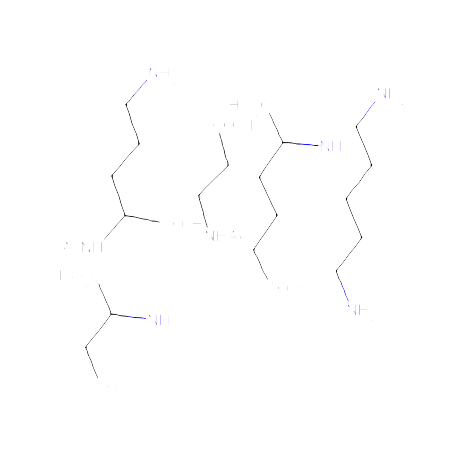 CC(=O)NC(CCCN)C(=O)O.CC(=O)NCCC(=O)O.NC(CCCC(=O)O)C(=O)O.NC(CS(=O)(=O)O)C(=O)O.NCCCCCN